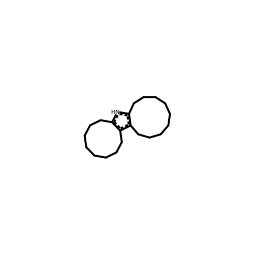 C1CCCCc2[nH]c3c(c2CCCC1)CCCCCCCC3